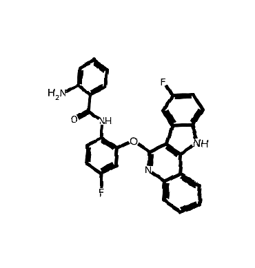 Nc1ccccc1C(=O)Nc1ccc(F)cc1Oc1nc2ccccc2c2[nH]c3ccc(F)cc3c12